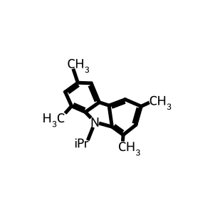 Cc1cc(C)c2c(c1)c1cc(C)cc(C)c1n2C(C)C